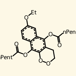 CCCCCC(=O)Oc1c2c(c(OC(=O)CCCCC)c3ccc(OCC)cc13)OOCC2